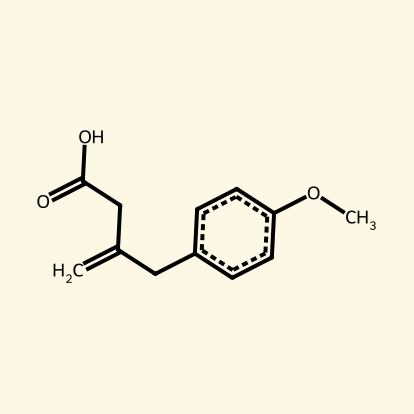 C=C(CC(=O)O)Cc1ccc(OC)cc1